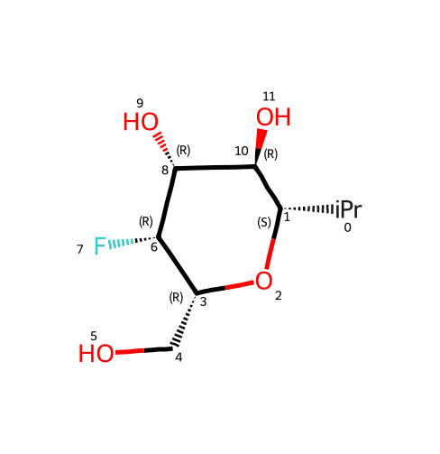 CC(C)[C@@H]1O[C@H](CO)[C@H](F)[C@H](O)[C@H]1O